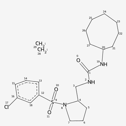 O=C(NCC1CCCN1S(=O)(=O)c1cccc(Cl)c1)N[C]1CCCCCCC1.[CH2].[CH2]